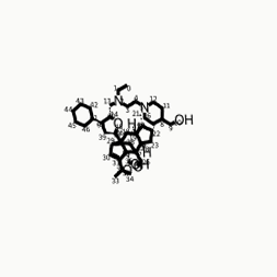 CCN(CCN1CCC(CO)CC1)C[C@@H]1O[C@@H](C23C[C@@H]4[C@H](C)CC[C@H]4C4(C=O)CC2C=C(C(C)C)[C@]43C(=O)O)C[C@H]1C1CCCCC1